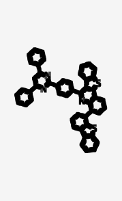 c1ccc(-c2cc(-c3ccccc3)nc(-c3ccc(-c4nc5c(-c6cccc7c6sc6ccccc67)cccc5c5sc6ccccc6c45)cc3)n2)cc1